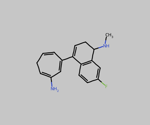 CNC1CC=C(C2=CC(N)=CCC=C2)c2ccc(F)cc21